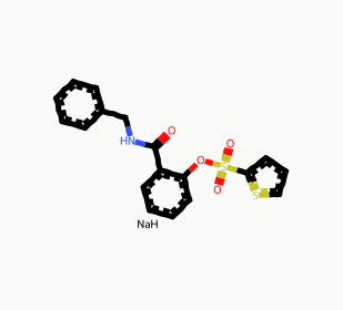 O=C(NCc1ccccc1)c1ccccc1OS(=O)(=O)c1cccs1.[NaH]